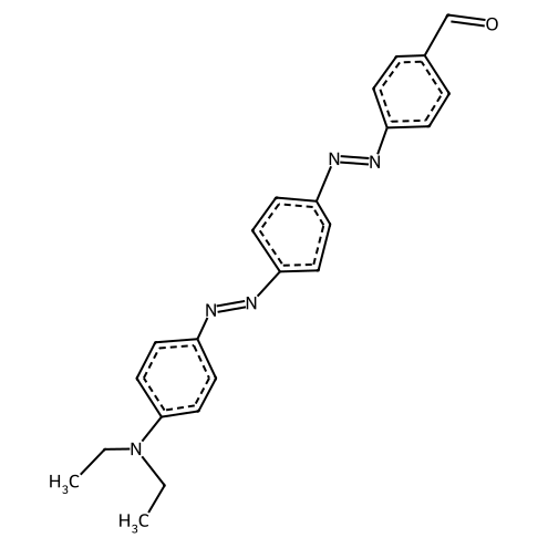 CCN(CC)c1ccc(N=Nc2ccc(N=Nc3ccc(C=O)cc3)cc2)cc1